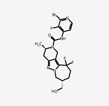 C[C@@H]1Cc2nn3c(c2CN1C(=O)Nc1ccnc(Br)c1F)C(F)(F)CC[C@H](CO)C3